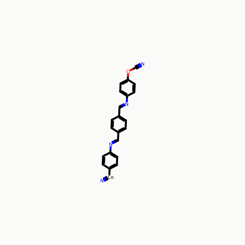 N#COc1ccc(N=Cc2ccc(C=Nc3cc[c]([Co]#[N])cc3)cc2)cc1